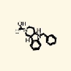 O=C(O)N1CC[C@H]2[C@@H](C1)c1ccccc1N2Cc1ccccc1